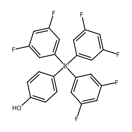 Oc1ccc([B-](c2cc(F)cc(F)c2)(c2cc(F)cc(F)c2)c2cc(F)cc(F)c2)cc1